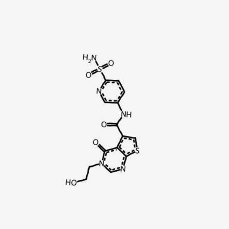 NS(=O)(=O)c1ccc(NC(=O)c2csc3ncn(CCO)c(=O)c23)cn1